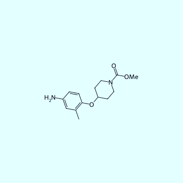 COC(=O)N1CCC(Oc2ccc(N)cc2C)CC1